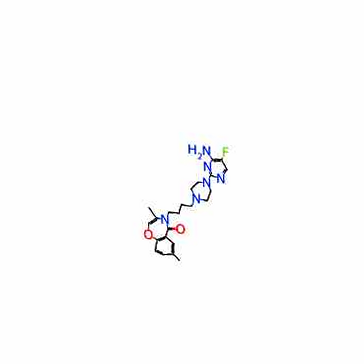 CC1=COc2ccc(C)cc2C(=O)N1CCCCN1CCN(c2ncc(F)c(N)n2)CC1